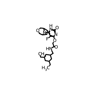 CCC1CC(CC)CC(CNC(=O)COc2nc(=O)[nH]c(N3C4CCC3COC4)c2F)C1